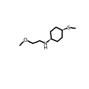 COCCN[C@H]1CC[C@@H](SC)CC1